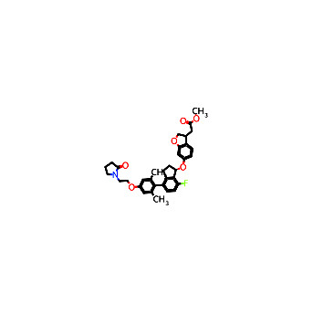 COC(=O)CC1COc2cc(O[C@@H]3CCc4c(-c5c(C)cc(OCCN6CCCC6=O)cc5C)ccc(F)c43)ccc21